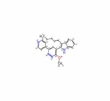 CCC/C=C/c1c(-c2cc(-c3ccncc3)nnc2OC)[nH]c2ccccc12